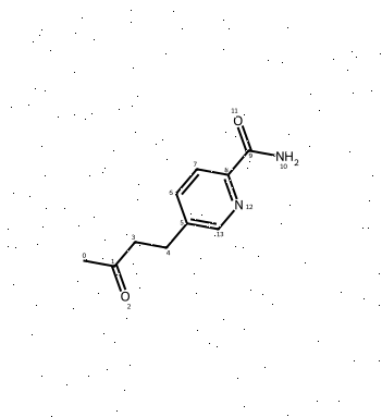 CC(=O)CCc1ccc(C(N)=O)nc1